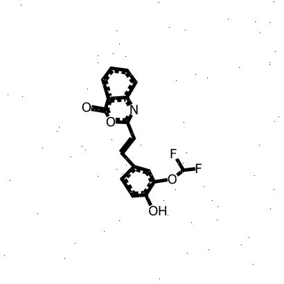 O=c1oc(/C=C/c2ccc(O)c(OC(F)F)c2)nc2ccccc12